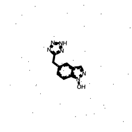 On1ncc2cc(Cc3nn[nH]n3)ccc21